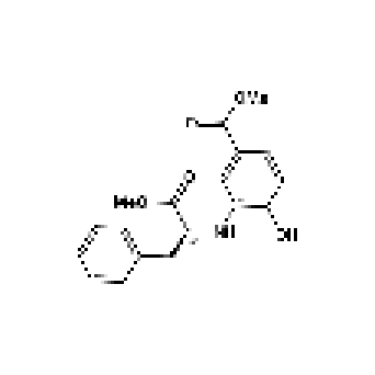 COC(=O)c1ccc(O)c(N[C@@H](Cc2ccccc2)C(=O)OC)c1